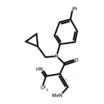 CN/C=C(\C(=N)C(F)(F)F)C(=O)N(CC1CC1)c1ccc(C(C)C)cc1